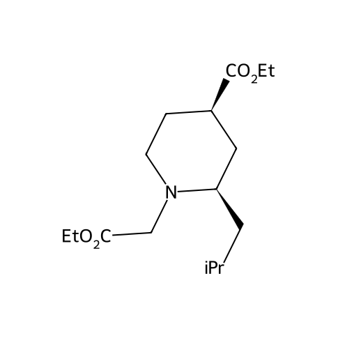 CCOC(=O)CN1CC[C@@H](C(=O)OCC)C[C@H]1CC(C)C